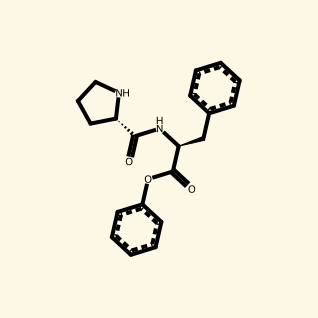 O=C(N[C@@H](Cc1ccccc1)C(=O)Oc1ccccc1)[C@@H]1CCCN1